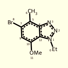 CCn1nnc2c(C)c(Br)cc(OC)c21